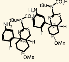 CO[C@@H]1CC[C@]2(c3cc(N)ccc3F)N=C(N(C(=O)O)C(C)(C)C)SC[C@@H]2C1.CO[C@@H]1CC[C@]2(c3cc(N)ccc3F)N=C(N(C(=O)O)C(C)(C)C)SC[C@@H]2C1